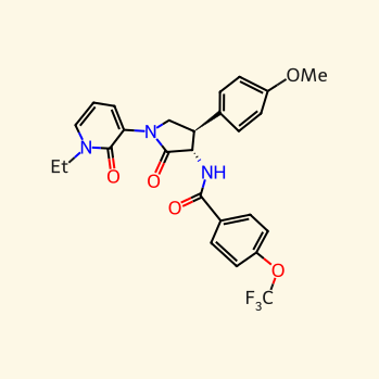 CCn1cccc(N2C[C@@H](c3ccc(OC)cc3)[C@H](NC(=O)c3ccc(OC(F)(F)F)cc3)C2=O)c1=O